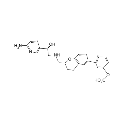 Nc1ccc([C@@H](O)CNC[C@H]2CCc3cc(-c4cc(OC(=O)O)ccn4)ccc3O2)cn1